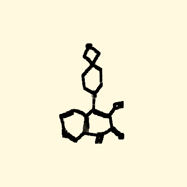 N#Cc1c(N2CCC3(CC2)COC3)c2ccncc2[nH]c1=O